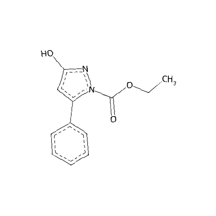 CCOC(=O)n1nc(O)cc1-c1ccccc1